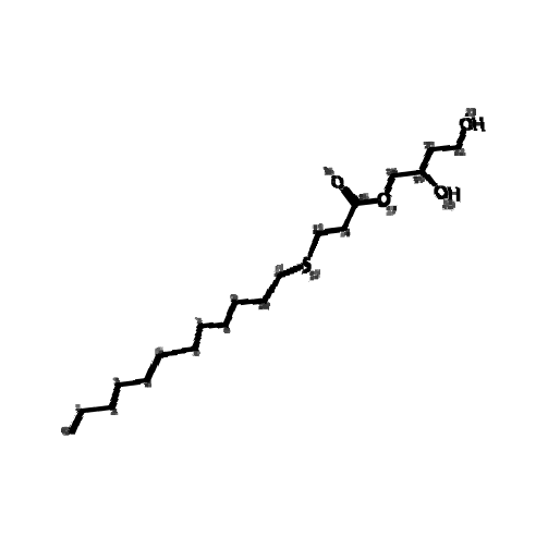 CCCCCCCCCCCCSCCC(=O)OCC(O)CCO